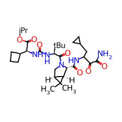 CC(C)OC(=O)[C@@H](NC(=O)N[C@H](C(=O)N1C[C@H]2[C@@H]([C@H]1C(=O)NC(CC1CC1)C(=O)C(N)=O)C2(C)C)C(C)(C)C)C1CCC1